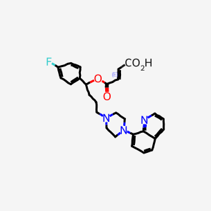 O=C(O)/C=C/C(=O)OC(CCCN1CCN(c2cccc3cccnc23)CC1)c1ccc(F)cc1